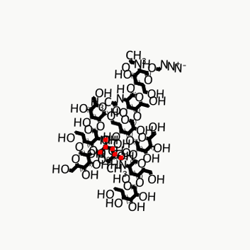 CC(=O)NC1[C@H](O[C@H]2C(O)[C@@H](O)C(CO)O[C@H]2O[C@H]2C(O)[C@H](O[C@@H]3C(CO)O[C@@H](O[C@@H]4C(CO)O[C@@H](OCN=[N+]=[N-])C(NC(C)=O)[C@@H]4O)C(NC(C)=O)[C@H]3O)OC(CO[C@H]3OC(CO)[C@@H](O)[C@H](O)C3O[C@@H]3OC(CO)[C@@H](O[C@@H]4OC(CO)[C@H](O)[C@H](O)C4O)[C@H](O[C@@H]4OC(C)[C@@H](O)[C@H](O)C4O)C3NC(C)=O)[C@H]2O)OC(CO)[C@@H](O[C@@H]2OC(CO)[C@H](O)[C@H](O)C2O)[C@@H]1O